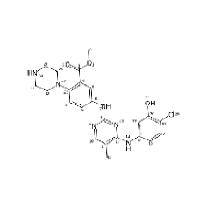 COC(=O)c1cc(Nc2ncc(C)c(Nc3ccc(Cl)c(O)c3)n2)ccc1N1CCNCC1